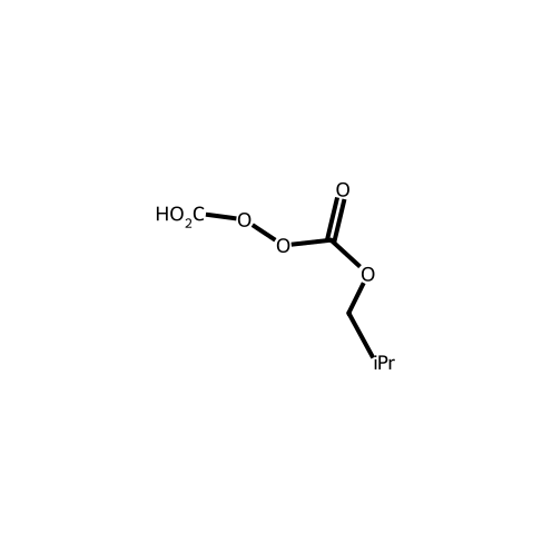 CC(C)COC(=O)OOC(=O)O